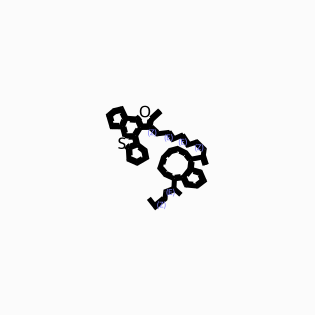 C=C(\C=C/C=C/C=C/C=c1\c(=C)oc2c3ccccc3c3sc4ccccc4c3c12)c1ccccccc(/C(C)=C/C=C\C)c2ccccc12